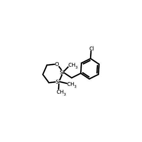 C[Si]1(C)CCCO[Si]1(C)Cc1cccc(Cl)c1